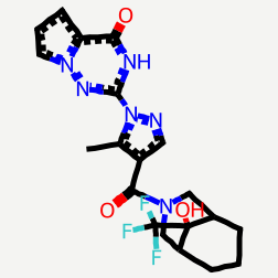 Cc1c(C(=O)N2CC3CCCC(C2)C3(O)C(F)(F)F)cnn1-c1nn2cccc2c(=O)[nH]1